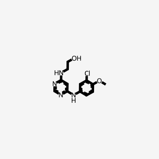 COc1ccc(Nc2cc(NCCO)ncn2)cc1Cl